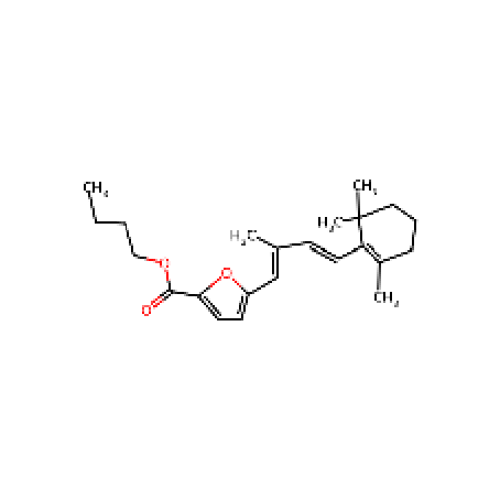 CCCCOC(=O)c1ccc(C=C(C)C=CC2=C(C)CCCC2(C)C)o1